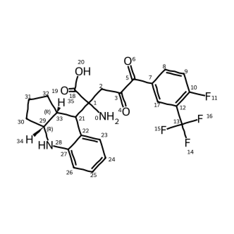 NC(CC(=O)C(=O)c1ccc(F)c(C(F)(F)F)c1)(C(=O)O)C1c2ccccc2N[C@@H]2CCC[C@H]12